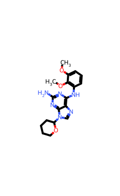 COc1cccc(Nc2nc(N)nc3c2ncn3C2CCCCO2)c1OC